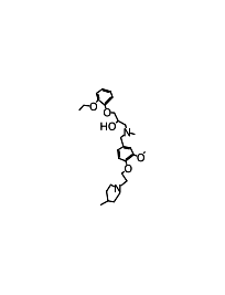 CCOc1ccccc1OCC(O)CN(C)Cc1ccc(OCCN2CCC(C)CC2)c(OC)c1